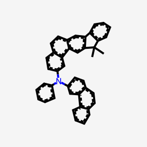 CC1(C)c2ccccc2-c2cc3ccc4ccc(N(c5ccccc5)c5ccc6ccc7ccccc7c6c5)cc4c3cc21